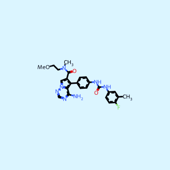 COCCN(C)C(=O)c1cn2ncnc(N)c2c1-c1ccc(NC(=O)Nc2ccc(F)c(C)c2)cc1